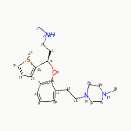 CNCC[C@@H](Oc1ccccc1CCN1CCN(C)CC1)c1cccs1